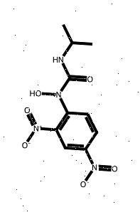 CC(C)NC(=O)N(O)c1ccc([N+](=O)[O-])cc1[N+](=O)[O-]